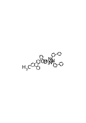 CC1C=Cc2c(c3c(c4c2=CCC(C)(C2C=CC=CC2c2cccc(-c5nc(-c6cccc(-c7ccccc7)c6)nc(-c6cccc(-c7ccccc7)c6)n5)c2)C=4)C=CCC3)C1